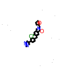 Cn1cc(-c2ccc(Cc3cc4c(cc3Cl)CN(CC3CCCO3)C4=O)cc2)cn1